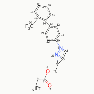 CC(C)CC(=O)OCC1c2cn(-c3ccc(-c4ccccc4C(F)(F)F)cc3)n21